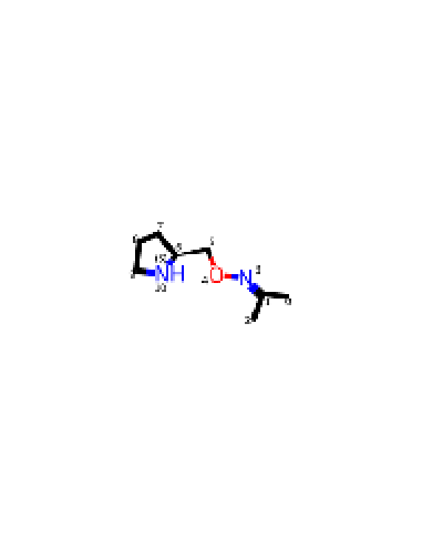 CC(C)=NOC[C@@H]1CCCN1